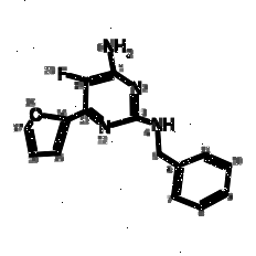 Nc1nc(NCc2ccccc2)nc(-c2ccco2)c1F